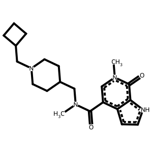 CN(CC1CCN(CC2CCC2)CC1)C(=O)c1cn(C)c(=O)c2[nH]ccc12